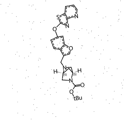 CC(C)(C)OC(=O)N1C[C@@H]2C[C@H]1CN2Cc1coc2cc(Oc3nc4ncccc4s3)ccc12